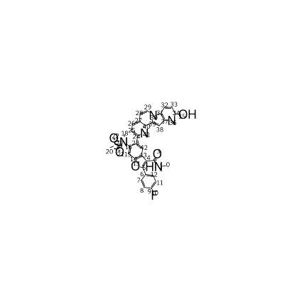 CNC(=O)c1c(-c2ccc(F)cc2)oc2cc(N(C)S(C)(=O)=O)c(-c3ccc4ccn5c6ccc(O)nc6cc5c4n3)cc12